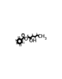 CCCCC(O)=COC(=O)c1ccccc1